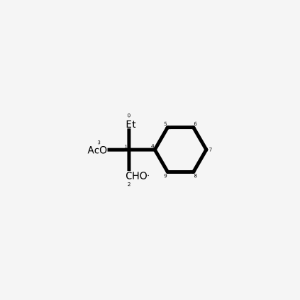 CCC([C]=O)(OC(C)=O)C1CCCCC1